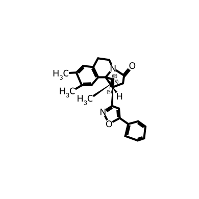 Cc1cc2c(cc1C)C13C[C@H](C)[C@@H](c4cc(-c5ccccc5)on4)[C@@H]1CC(=O)N3CC2